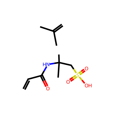 C=C(C)C.C=CC(=O)NC(C)(C)CS(=O)(=O)O